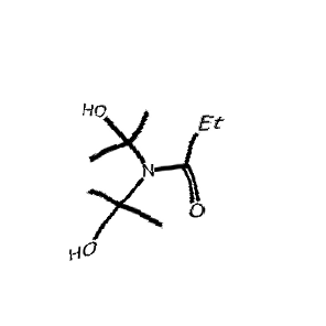 CCC(=O)N(C(C)(C)O)C(C)(C)O